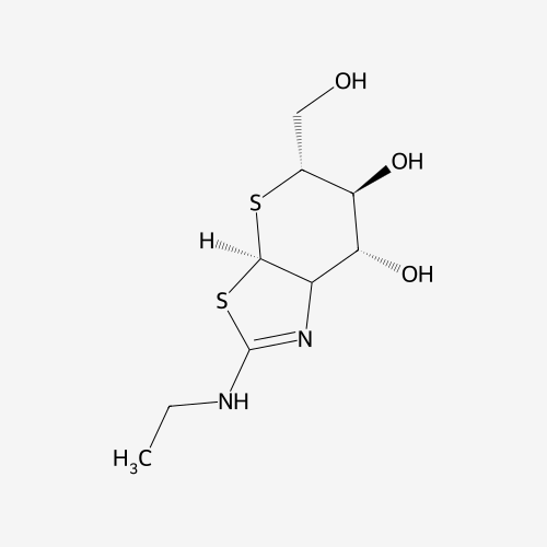 CCNC1=NC2[C@@H](S1)S[C@H](CO)[C@@H](O)[C@@H]2O